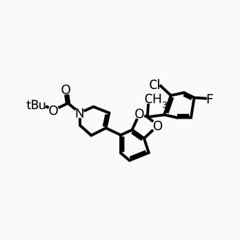 CC(C)(C)OC(=O)N1CC=C(c2cccc3c2OC(C)(c2ccc(F)cc2Cl)O3)CC1